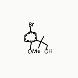 COc1ccc(Br)cc1C(C)(C)CO